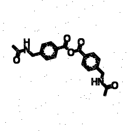 CC(=O)NCc1ccc(C(=O)OC(=O)c2ccc(CNC(C)=O)cc2)cc1